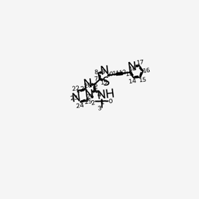 CC(C)(C)Nc1c(-c2cnc(C#Cc3ccccn3)s2)nc2cnccn12